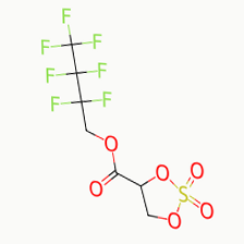 O=C(OCC(F)(F)C(F)(F)C(F)(F)F)C1COS(=O)(=O)O1